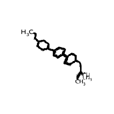 CCCC1CCC(c2ccc(C3=CCC(CC(C)CC)CC3)cc2)CC1